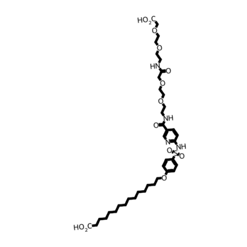 O=C(O)CCCCCCCCCCCCCCOc1ccc(S(=O)(=O)Nc2ccc(C(=O)NCCOCCOCC(=O)NCCOCCOCC(=O)O)cn2)cc1